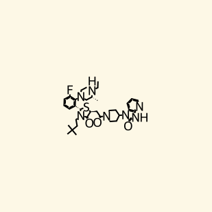 CCN[C@H](C)CN(CC)c1c(F)cccc1[C@@H]1S[C@@H](CC(=O)N2CCC(n3c(=O)[nH]c4ncccc43)CC2)C(=O)N1CCC(C)(C)C